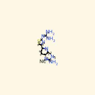 CN(Cc1cccc(-c2csc(N=C(N)N)n2)n1)C(N)=NC#N